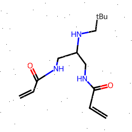 C=CC(=O)NCC(CNC(=O)C=C)NCC(C)(C)C